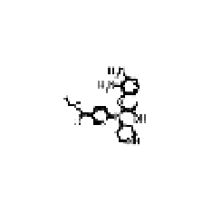 CCOC(=O)c1ccc(N(C2CCNCC2)C(Oc2cccc(N)c2N)C(C)O)nc1